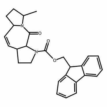 CC1CCC2C=CC3CCN(C(=O)OCC4c5ccccc5-c5ccccc54)C3C(=O)N12